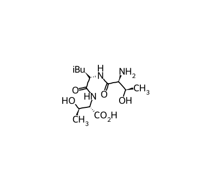 CC[C@H](C)[C@H](NC(=O)[C@@H](N)[C@@H](C)O)C(=O)N[C@H](C(=O)O)[C@@H](C)O